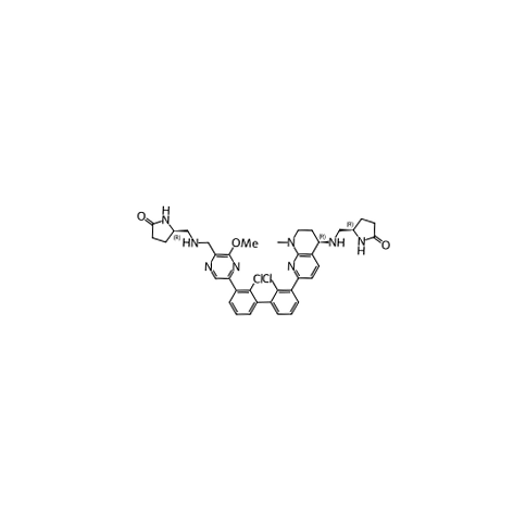 COc1nc(-c2cccc(-c3cccc(-c4ccc5c(n4)N(C)CC[C@H]5NC[C@H]4CCC(=O)N4)c3Cl)c2Cl)cnc1CNC[C@H]1CCC(=O)N1